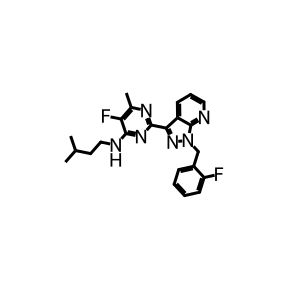 Cc1nc(-c2nn(Cc3ccccc3F)c3ncccc23)nc(NCCC(C)C)c1F